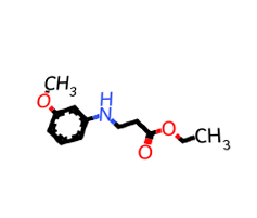 CCOC(=O)CCNc1cccc(OC)c1